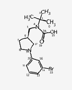 CC(C)(C)N(C[C@@H]1CCN(c2cccc(Br)c2)C1)C(=O)O